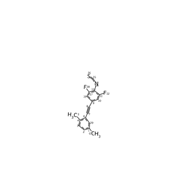 Cc1ccc(C)c(C#Cc2cc(F)c(N=C=S)c(F)c2)c1